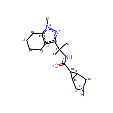 Cn1nc(C(C)(C)NC(=O)C2C3CNCC32)c2c1CCCC2